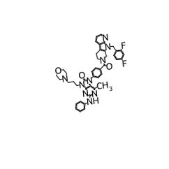 Cc1nc(Nc2ccccc2)nc2c1n(-c1ccc(C(=O)N3CCc4c(n(Cc5ccc(F)cc5F)c5ncccc45)C3)cc1)c(=O)n2CCCN1CCOCC1